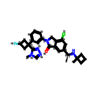 C[C@@H](NC1(C)CCC1)c1cc(Cl)c2c(c1)C(=O)N(c1cccc(C3(c4nncn4C)CC(F)C3)c1)C2